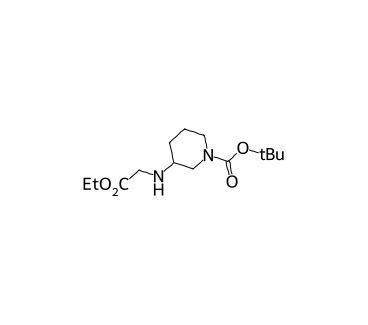 CCOC(=O)CNC1CCCN(C(=O)OC(C)(C)C)C1